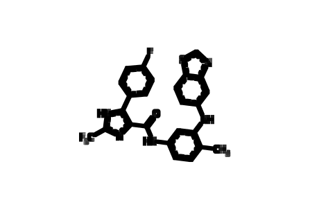 Cc1ccc(NC(=O)c2nc(C(F)(F)F)[nH]c2-c2ccc(F)cc2)cc1Nc1ccc2scnc2c1